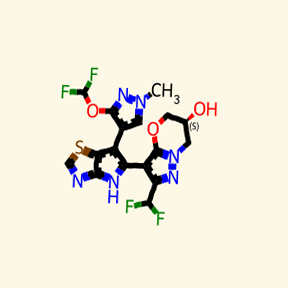 Cn1cc(-c2c(-c3c(C(F)F)nn4c3OC[C@@H](O)C4)[nH]c3ncsc23)c(OC(F)F)n1